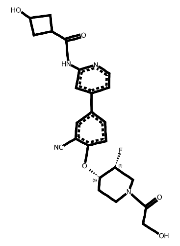 N#Cc1cc(-c2ccnc(NC(=O)C3CC(O)C3)c2)ccc1O[C@H]1CCN(C(=O)CO)C[C@H]1F